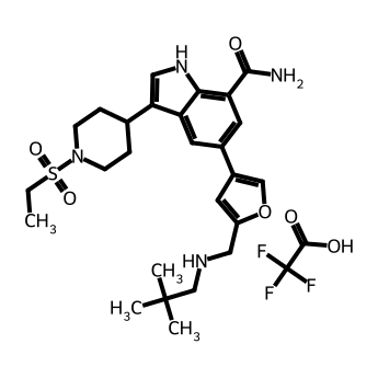 CCS(=O)(=O)N1CCC(c2c[nH]c3c(C(N)=O)cc(-c4coc(CNCC(C)(C)C)c4)cc23)CC1.O=C(O)C(F)(F)F